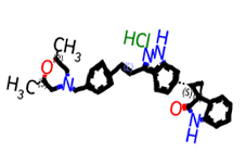 C[C@@H]1CN(Cc2ccc(/C=C/c3n[nH]c4cc([C@@H]5C[C@@]56C(=O)Nc5ccccc56)ccc34)cc2)C[C@H](C)O1.Cl